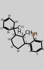 CC1C(c2ccccc2S)CCCC1C1(C)C=CC=CC1